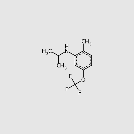 Cc1ccc(OC(F)(F)F)cc1NC(C)C